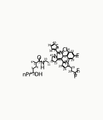 CCCC(O)CCC(C)C(=O)NCC[C@H]1CC2=C(C3=NC(CCC(F)F)C=C3)[C@H](c3ccc(F)cc3Cl)N=C(c3cccs3)N2C1